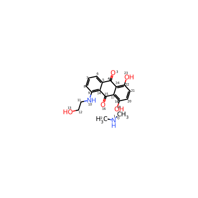 CNC.O=C1c2cccc(NCCO)c2C(=O)c2c(O)ccc(O)c21